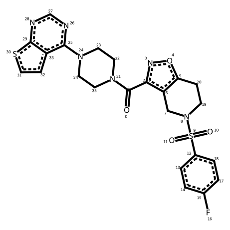 O=C(c1noc2c1CN(S(=O)(=O)c1ccc(F)cc1)CC2)N1CCN(c2ncnc3sccc23)CC1